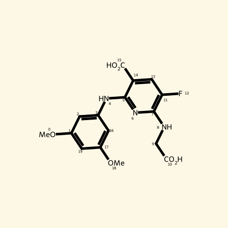 COc1cc(Nc2nc(NCC(=O)O)c(F)cc2C(=O)O)cc(OC)c1